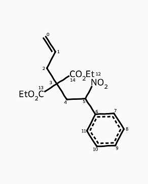 C=CCC(CC(c1ccccc1)[N+](=O)[O-])(C(=O)OCC)C(=O)OCC